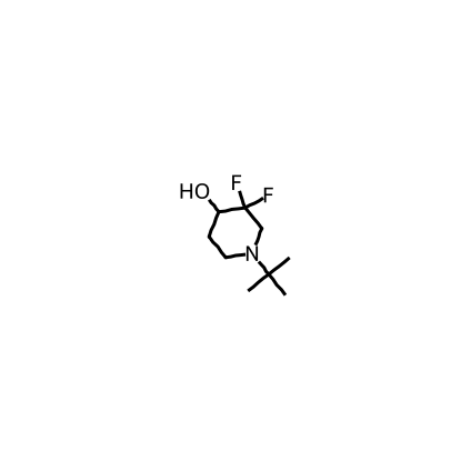 CC(C)(C)N1CCC(O)C(F)(F)C1